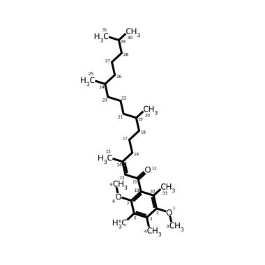 COc1c(C)c(C)c(OC)c(C(=O)C=C(C)CCCC(C)CCCC(C)CCCC(C)C)c1C